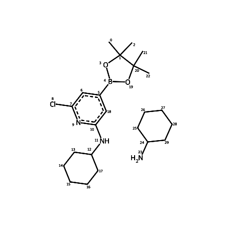 CC1(C)OB(c2cc(Cl)nc(NC3CCCCC3)c2)OC1(C)C.NC1CCCCC1